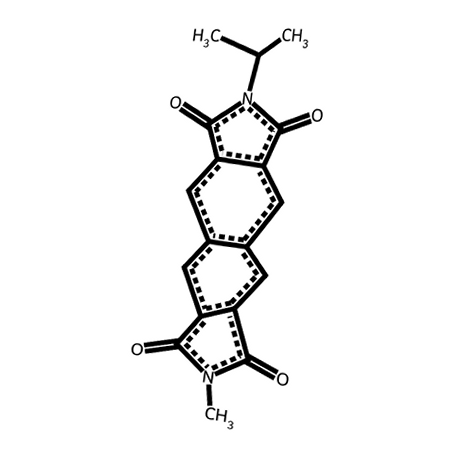 CC(C)n1c(=O)c2cc3cc4c(=O)n(C)c(=O)c4cc3cc2c1=O